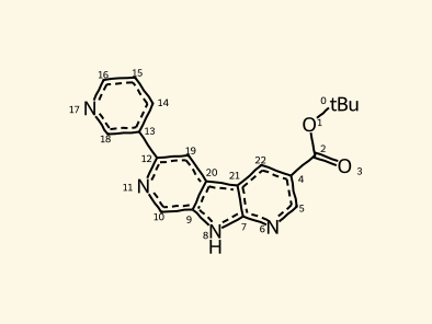 CC(C)(C)OC(=O)c1cnc2[nH]c3cnc(-c4cccnc4)cc3c2c1